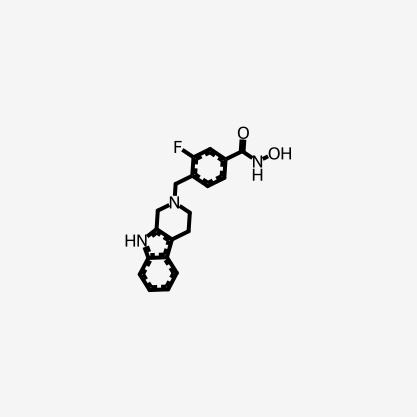 O=C(NO)c1ccc(CN2CCc3c([nH]c4ccccc34)C2)c(F)c1